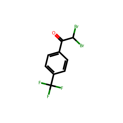 O=C(c1ccc(C(F)(F)F)cc1)C(Br)Br